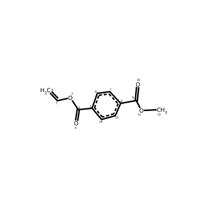 C=COC(=O)c1ccc(C(=O)OC)cc1